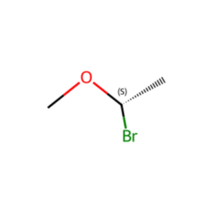 CO[C@H](C)Br